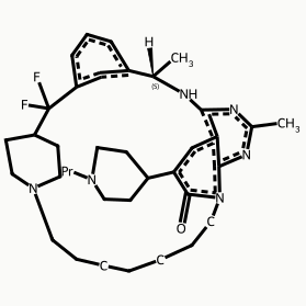 Cc1nc2c3cc(C4CCN(C(C)C)CC4)c(=O)n(c3n1)CCCCCCCN1CCC(CC1)C(F)(F)c1cccc(c1)[C@H](C)N2